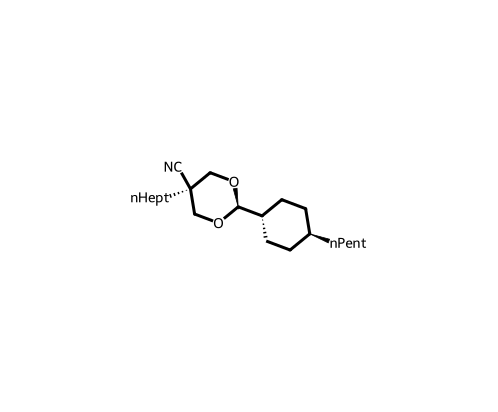 CCCCCCC[C@]1(C#N)CO[C@@H]([C@H]2CC[C@H](CCCCC)CC2)OC1